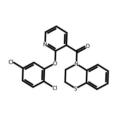 O=C(c1cccnc1Oc1cc(Cl)ccc1Cl)N1CCSc2ccccc21